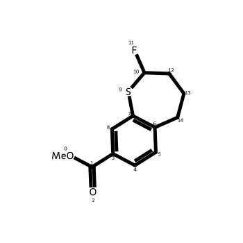 COC(=O)c1ccc2c(c1)SC(F)CCC2